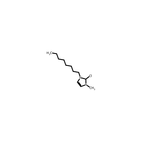 CCCCCCCCN1C=CN(C)C1Cl